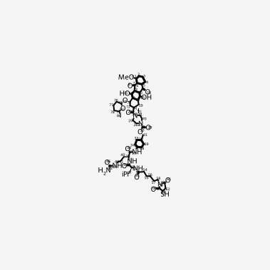 COc1cccc2c1C(=O)c1c(O)c3c(c(O)c1C2=O)C[C@@](I)(C(=O)N1CCN(C(=O)OCc2ccc(NC(=O)[C@H](CCCNC(N)=O)NC(=O)[C@@H](NC(=O)CCCCCN4C(=O)CC(S)C4=O)C(C)C)cc2)CC1)C[C@@H]3O[C@H]1CCC[C@H](I)O1